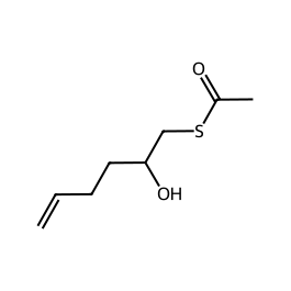 C=CCCC(O)CSC(C)=O